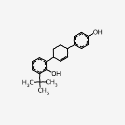 CC(C)(C)c1cccc(C2C=CC(c3ccc(O)cc3)CC2)c1O